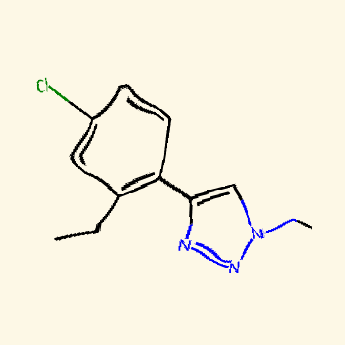 CCc1cc(Cl)ccc1-c1cn(C)nn1